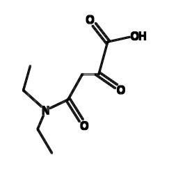 CCN(CC)C(=O)CC(=O)C(=O)O